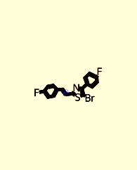 Fc1ccc(/C=C/c2nc(-c3ccc(F)cc3)c(Br)s2)cc1